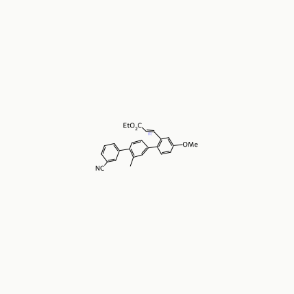 CCOC(=O)/C=C/c1cc(OC)ccc1-c1ccc(-c2cccc(C#N)c2)c(C)c1